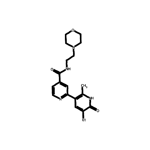 CCc1cc(-c2cc(C(=O)NCCN3CCOCC3)ccn2)c(C)[nH]c1=O